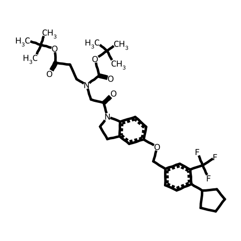 CC(C)(C)OC(=O)CCN(CC(=O)N1CCc2cc(OCc3ccc(C4CCCC4)c(C(F)(F)F)c3)ccc21)C(=O)OC(C)(C)C